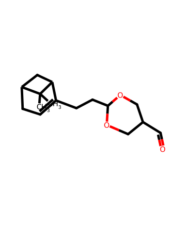 CC1(C)C2CC=C(CCC3OCC(C=O)CO3)C1C2